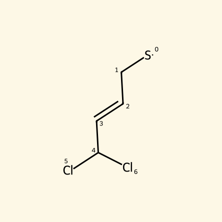 [S]CC=CC(Cl)Cl